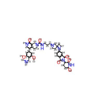 COc1cc(-c2cn(C)c(=O)c3c2CCN(C(=O)NCCCN2CCC4(CCN4c4ccc5c(c4)C(=O)N(C4CCC(=O)NC4=O)C5=O)C2)C3)cc(OC)c1CN(C)C